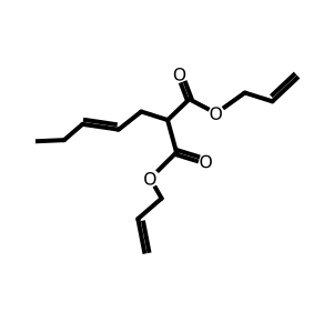 C=CCOC(=O)C(CC=CCC)C(=O)OCC=C